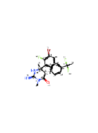 CN1C(=N)N[C@](C)(c2cccc(Br)c2F)[C@H](c2ccc(C(C)(F)F)cc2)C1=O